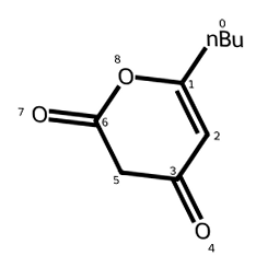 CCCCC1=CC(=O)CC(=O)O1